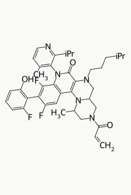 C=CC(=O)N1CC(C)N2c3c(c(=O)n(-c4c(C)ccnc4C(C)C)c4c(F)c(-c5c(O)cccc5F)c(F)cc34)N(CCCC(C)C)CC2C1